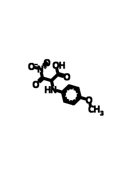 COc1ccc(NC(C(=O)O)C(=O)[N+](=O)[O-])cc1